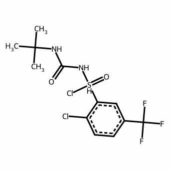 CC(C)(C)NC(=O)N[SH](=O)(Cl)c1cc(C(F)(F)F)ccc1Cl